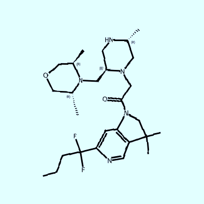 CCCC(F)(F)c1cc2c(cn1)C(C)(C)CN2C(=O)CN1C[C@@H](C)NC[C@@H]1CN1[C@H](C)COC[C@H]1C